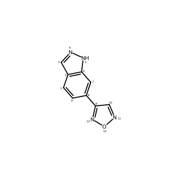 c1cc2cn[nH]c2cc1-c1cnon1